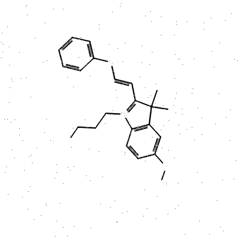 CC1(C)C(/C=C/Nc2ccccc2)=[N+](CCCS(=O)(=O)O)c2ccc(OC=O)cc21